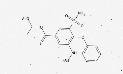 CCCCNc1cc(C(=S)OC(C)OC(C)=O)cc(S(N)(=O)=O)c1Oc1ccccc1